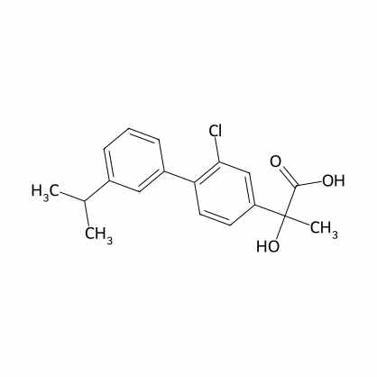 CC(C)c1cccc(-c2ccc(C(C)(O)C(=O)O)cc2Cl)c1